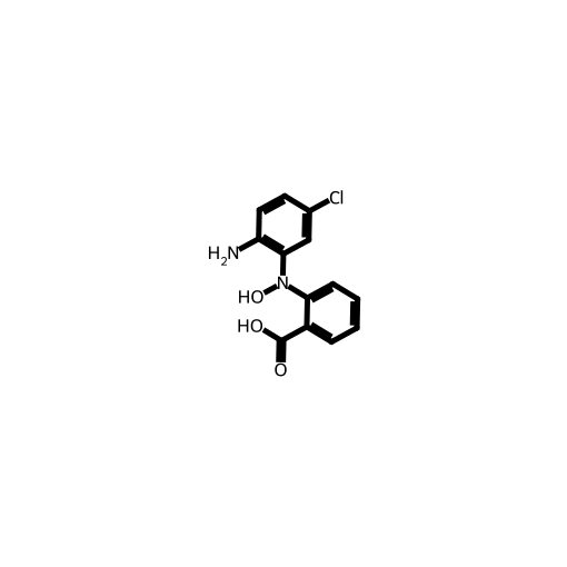 Nc1ccc(Cl)cc1N(O)c1ccccc1C(=O)O